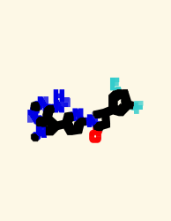 Cn1cc(-c2ccc(N3CC(c4cc(F)cc(F)c4)CC3=O)nc2)c2c(N)ncnc21